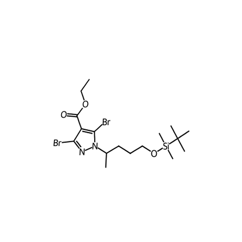 CCOC(=O)c1c(Br)nn(C(C)CCCO[Si](C)(C)C(C)(C)C)c1Br